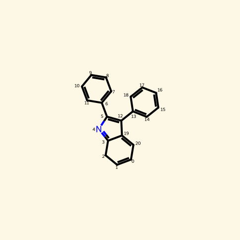 C1=CCC2=NC(c3ccccc3)=C(c3ccccc3)C2=C1